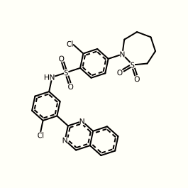 O=S(=O)(Nc1ccc(Cl)c(-c2ncc3ccccc3n2)c1)c1ccc(N2CCCCCS2(=O)=O)cc1Cl